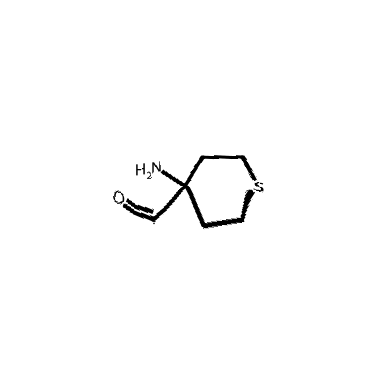 NC1([C]=O)CCSCC1